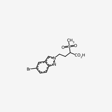 CS(=O)(=O)C(CCn1cc2cc(Br)ccc2n1)C(=O)O